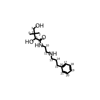 CC(C)(CO)C(O)C(=O)NCCNCCCc1ccccc1